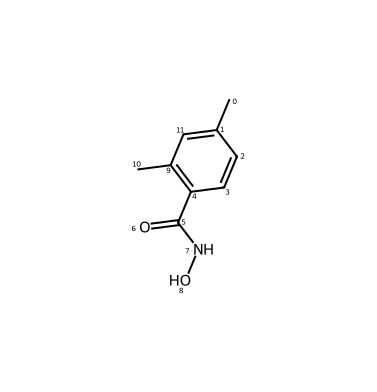 Cc1ccc(C(=O)NO)c(C)c1